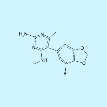 CNc1nc(N)nc(C)c1-c1cc(Br)c2c(c1)OCO2